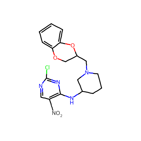 O=[N+]([O-])c1cnc(Cl)nc1NC1CCCN(CC2COc3ccccc3O2)C1